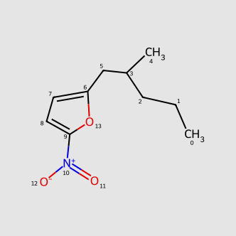 CCCC(C)Cc1ccc([N+](=O)[O-])o1